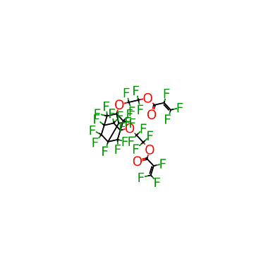 O=C(OC(F)(F)C(F)(F)OC12C(F)(F)C3(F)C(F)(F)C(F)(C1(F)F)C(F)(F)C(OC(F)(F)C(F)(F)OC(=O)C(F)=C(F)F)(C3(F)F)C2(F)F)C(F)=C(F)F